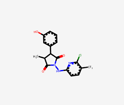 CC1C(=O)N(Nc2ccc(C(F)(F)F)c(Cl)n2)C(=O)C1c1cccc(O)c1